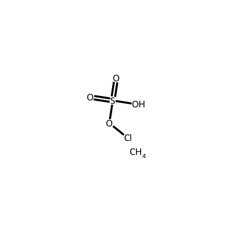 C.O=S(=O)(O)OCl